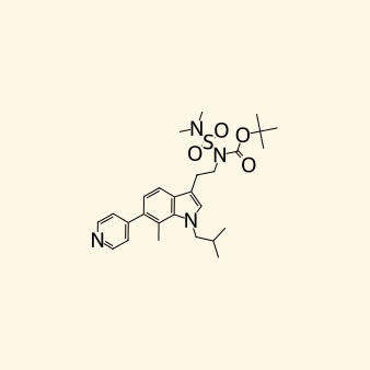 Cc1c(-c2ccncc2)ccc2c(CCN(C(=O)OC(C)(C)C)S(=O)(=O)N(C)C)cn(CC(C)C)c12